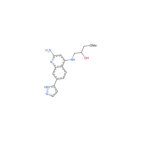 COCC(O)CNc1cc(N)nc2cc(-c3ccn[nH]3)ccc12